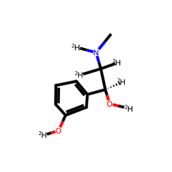 [2H]Oc1cccc([C@]([2H])(O[2H])C([2H])([2H])N([2H])C)c1